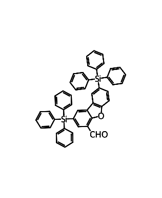 O=Cc1cc([Si](c2ccccc2)(c2ccccc2)c2ccccc2)cc2c1oc1ccc([Si](c3ccccc3)(c3ccccc3)c3ccccc3)cc12